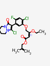 C=C(C)COC(=O)/C=C(\COc1cc(-c2c(Cl)n3n(c2=O)CCCC3)c(F)cc1Cl)OCC